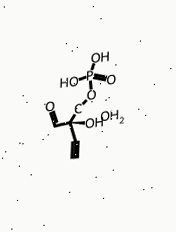 C#C[C@](O)(C=O)COP(=O)(O)O.O